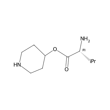 CC(C)[C@@H](N)C(=O)OC1CCNCC1